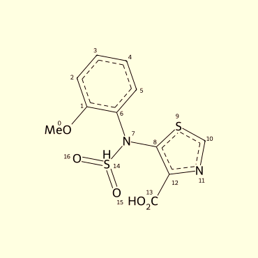 COc1ccccc1N(c1scnc1C(=O)O)[SH](=O)=O